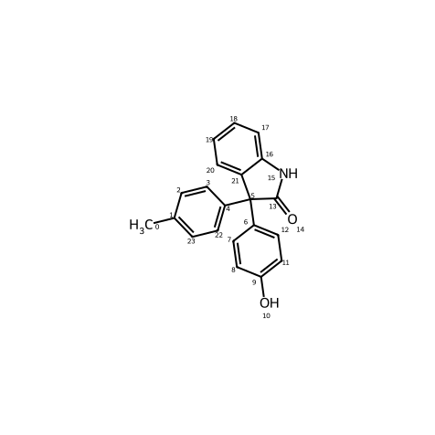 Cc1ccc(C2(c3ccc(O)cc3)C(=O)Nc3ccccc32)cc1